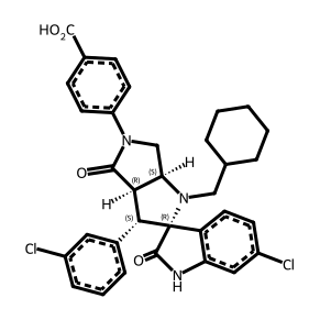 O=C(O)c1ccc(N2C[C@@H]3[C@H](C2=O)[C@@H](c2cccc(Cl)c2)[C@@]2(C(=O)Nc4cc(Cl)ccc42)N3CC2CCCCC2)cc1